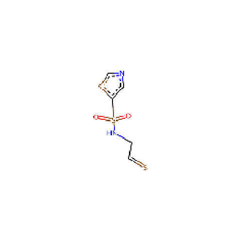 O=S(=O)(NCC=S)c1cncs1